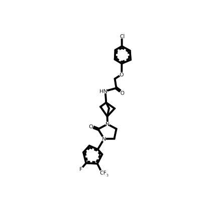 O=C(COc1ccc(Cl)cc1)NC12CC(N3CCN(c4ccc(F)c(C(F)(F)F)c4)C3=O)(C1)C2